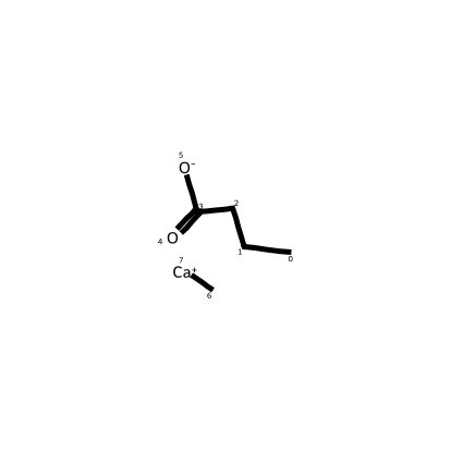 CCCC(=O)[O-].[CH3][Ca+]